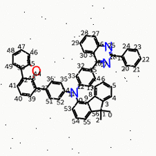 CC1(C)c2ccccc2-c2c(N(c3ccc(-c4nc(-c5ccccc5)nc5ccccc45)cc3)c3ccc(-c4cccc5c4oc4ccccc45)cc3)cccc21